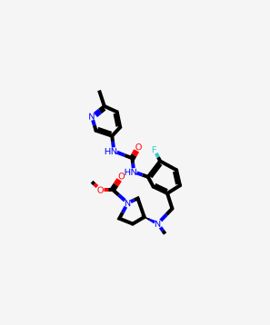 COC(=O)N1CC[C@H](N(C)Cc2ccc(F)c(NC(=O)Nc3ccc(C)nc3)c2)C1